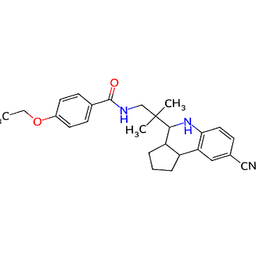 CC(C)(CNC(=O)c1ccc(OCC(F)(F)F)cc1)C1Nc2ccc(C#N)cc2C2CCCC21